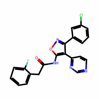 O=C(Cc1ccccc1F)Nc1onc(-c2cccc(Cl)c2)c1-c1ccncn1